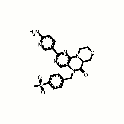 CS(=O)(=O)c1ccc(CN2C(=O)C3COCCN3c3nc(-c4ccc(N)nc4)ncc32)cc1